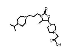 CC(C)N1CCN(CCCN2C(=O)OC(N3CCN(CC(=O)O)CC3)C2C)CC1